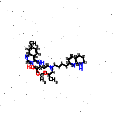 CO[C@H](C)CN(CCCCc1ccc2c(n1)NCCC2)CC[C@H](Nc1ncnc2cc(C)ccc12)C(=O)O